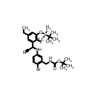 CCc1cc(O[Si](C)(C)C(C)(C)C)c(F)c(C(C#N)Nc2ccc(Br)c(CNC(=O)OC(C)(C)C)c2)c1